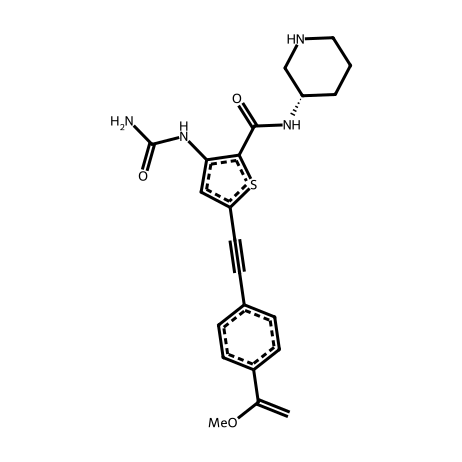 C=C(OC)c1ccc(C#Cc2cc(NC(N)=O)c(C(=O)N[C@H]3CCCNC3)s2)cc1